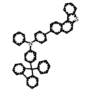 c1ccc(N(c2ccc(-c3ccc4c(ccc5sc6ccccc6c54)c3)cc2)c2ccc(C3(c4ccccc4)c4ccccc4-c4ccccc43)cc2)cc1